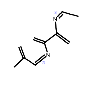 C=C(C)/C=N\C(=C)C(=C)/N=C\C